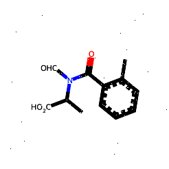 Cc1ccccc1C(=O)N(C=O)C(C)C(=O)O